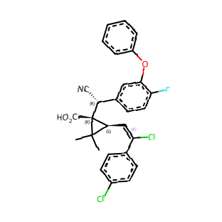 CC1(C)[C@H](/C=C(/Cl)c2ccc(Cl)cc2)[C@@]1(C(=O)O)[C@H](C#N)c1ccc(F)c(Oc2ccccc2)c1